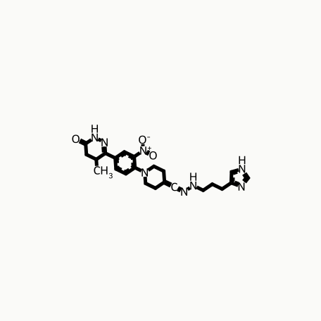 CC1CC(=O)NN=C1c1ccc(N2CCC(=C=NNCCCc3c[nH]cn3)CC2)c([N+](=O)[O-])c1